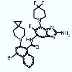 Nc1nc2c(N3CCC(F)(F)CC3)c(F)c(NC(=O)c3c(N4CCC5(CC4)CC5)cc(Br)c4ccccc34)cc2s1